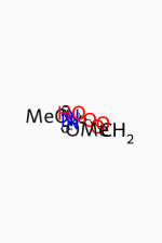 C=CC(=O)OCCOc1ccc(-c2nc(-c3ccccc3OC)nc(-c3ccccc3OC)n2)c(O)c1